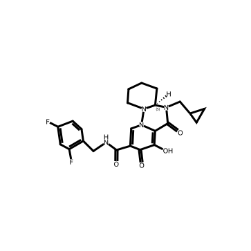 O=C(NCc1ccc(F)cc1F)c1cn2c(c(O)c1=O)C(=O)N(CC1CC1)[C@@H]1CCCCN12